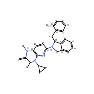 C=C1C(C)N(C2CC2)c2nc(N3Cc4ccccc4C3Cc3ccccc3C)ccc2N1C